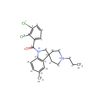 O=C(c1cccc(Cl)c1Cl)N1CC2(CCN(CCC(F)(F)F)CC2)c2cc(C(F)(F)F)ccc21